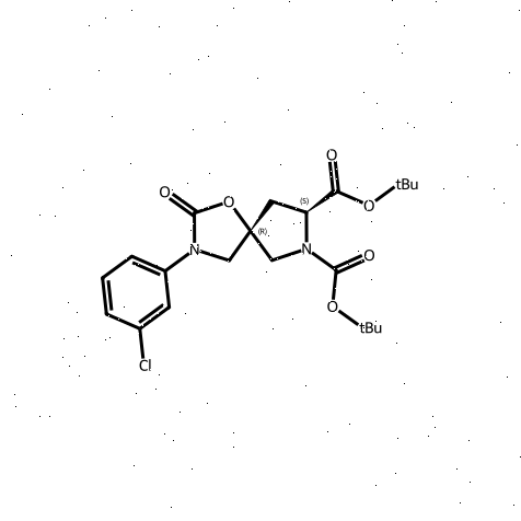 CC(C)(C)OC(=O)[C@@H]1C[C@]2(CN(c3cccc(Cl)c3)C(=O)O2)CN1C(=O)OC(C)(C)C